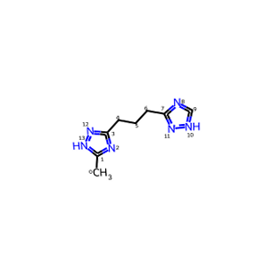 Cc1nc(CCCc2nc[nH]n2)n[nH]1